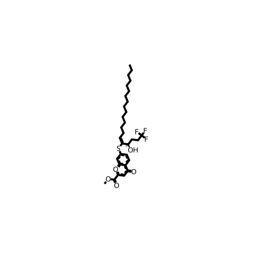 CCCCCCCCCCCCCCC=C(Sc1ccc2c(=O)cc(C(=O)OC)oc2c1)[C@H](O)CCC(F)(F)F